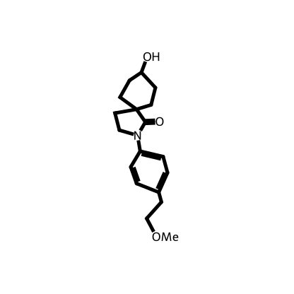 COCCc1ccc(N2CCC3(CCC(O)CC3)C2=O)cc1